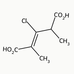 CC(C(=O)O)=C(Cl)C(C)C(=O)O